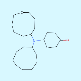 O=C1CCC(N(C2CCCCCCCC2)C2CCCCCCCC2)CC1